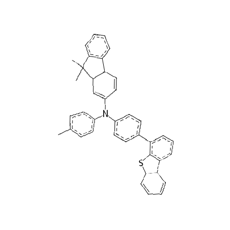 Cc1ccc(N(C2=CC3C(C=C2)c2ccccc2C3(C)C)c2ccc(-c3cccc4c3SC3C=CC=CC43)cc2)cc1